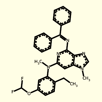 CCc1ccc(OC(F)F)cc1N(C)c1cc2c(ncn2C)c(N=C(c2ccccc2)c2ccccc2)n1